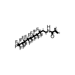 C=C(C)C(=O)NCCC(F)(F)C(F)(F)C(F)(F)C(F)(F)C(F)(F)C(F)(F)C(F)(F)C(F)(F)F